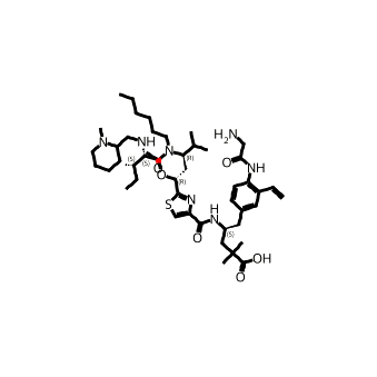 C=Cc1cc(C[C@@H](CC(C)(C)C(=O)O)NC(=O)c2csc([C@@H](C[C@H](C(C)C)N(CCCCCC)C(=O)[C@@H](NCC3CCCCN3C)[C@@H](C)CC)OCC)n2)ccc1NC(=O)CN